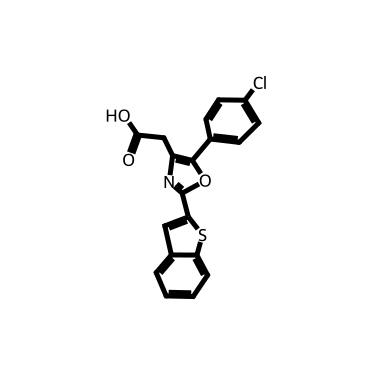 O=C(O)Cc1nc(-c2cc3ccccc3s2)oc1-c1ccc(Cl)cc1